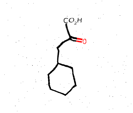 O=C(O)C(=O)CC1CCCCC1